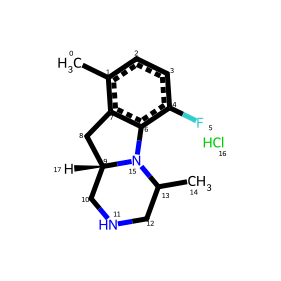 Cc1ccc(F)c2c1C[C@H]1CNCC(C)N21.Cl